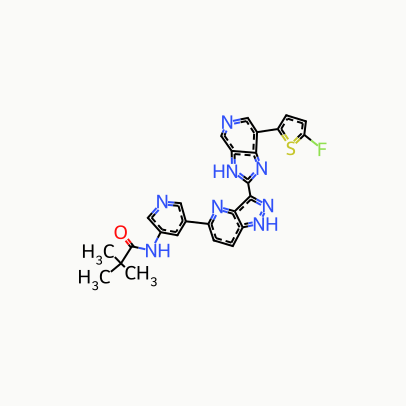 CC(C)(C)C(=O)Nc1cncc(-c2ccc3[nH]nc(-c4nc5c(-c6ccc(F)s6)cncc5[nH]4)c3n2)c1